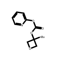 CCCCC1(OC(=O)Oc2ccccn2)COC1